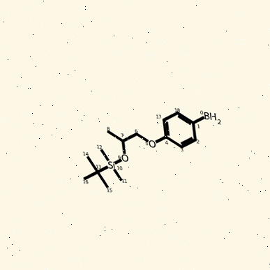 Bc1ccc(OCC(C)O[Si](C)(C)C(C)(C)C)cc1